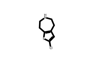 Clc1cc2c(s1)CCNCC2